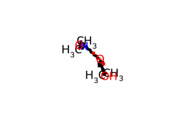 CC1CN(CCCCCCCCOc2ccc(C#CC(C)(C)O)cc2)CC(C)O1